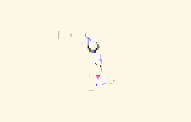 CCOC(=O)N1CC2CCC1CC2N1CC(CC(=O)N(CC)C(C)C)C1